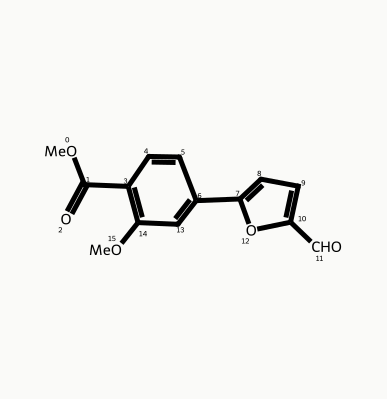 COC(=O)c1ccc(-c2ccc(C=O)o2)cc1OC